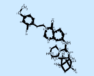 COc1ccc(CCn2cnc3cc(N/C(=N/C4C[C@@H]5C[C@H]([C@@H]4C)C5(C)C)N4CCNCC4)ccc3c2=O)c(F)c1